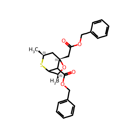 B[C@@H]1O[C@@]2(CC(=O)OCc3ccccc3)C[C@H](C)SC1C2C(=O)OCc1ccccc1